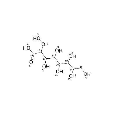 O=C(O)C(OO)C(O)C(O)C(O)C(O)C(O)CO